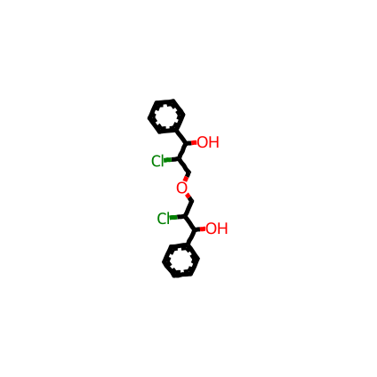 OC(c1ccccc1)C(Cl)COCC(Cl)C(O)c1ccccc1